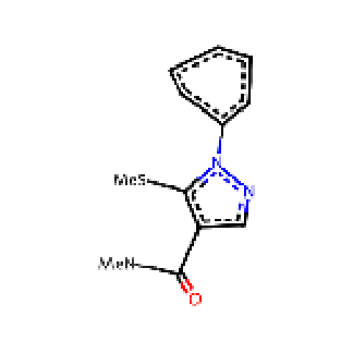 CNC(=O)c1cnn(-c2ccccc2)c1SC